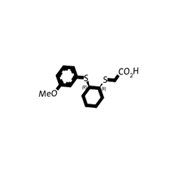 COc1cccc(S[C@@H]2CCCC[C@H]2SCC(=O)O)c1